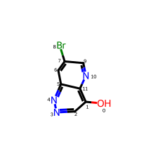 Oc1cnnc2cc(Br)cnc12